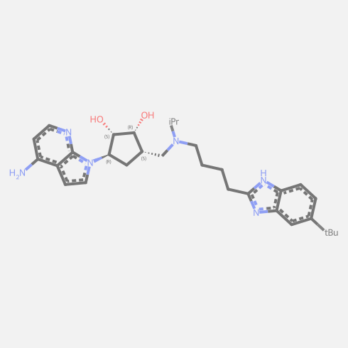 CC(C)N(CCCCc1nc2cc(C(C)(C)C)ccc2[nH]1)C[C@@H]1C[C@@H](n2ccc3c(N)ccnc32)[C@H](O)[C@@H]1O